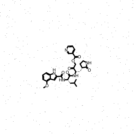 COc1cccc2[nH]c(C(=O)N[C@@H](CC(C)C)C(=O)N[C@@H](C[C@@H]3CCNC3=O)C(=O)COC(=O)c3cccnc3)cc12